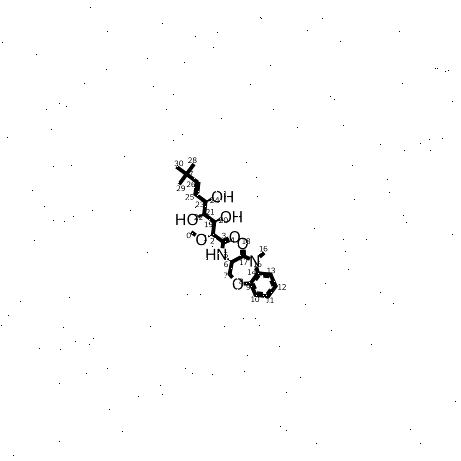 CO[C@@H](C(=O)N[C@H]1COc2ccccc2N(C)C1=O)[C@H](O)[C@@H](O)[C@H](O)/C=C/C(C)(C)C